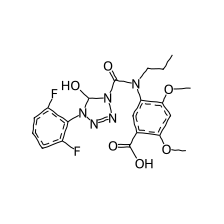 CCCN(C(=O)N1N=NN(c2c(F)cccc2F)C1O)c1cc(C(=O)O)c(OC)cc1OC